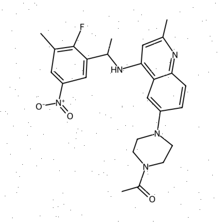 CC(=O)N1CCN(c2ccc3nc(C)cc(NC(C)c4cc([N+](=O)[O-])cc(C)c4F)c3c2)CC1